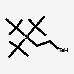 CC(C)(C)[Si](CC[TeH])(C(C)(C)C)C(C)(C)C